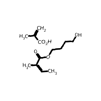 C=C(C)C(=O)O.CC=C(C)C(=O)OCCCCO